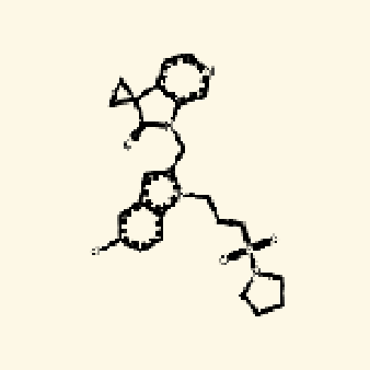 O=C1N(Cc2cc3cc(Cl)ccc3n2CCCS(=O)(=O)N2CCCC2)c2cnccc2C12CC2